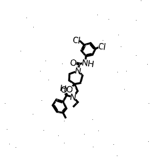 CCN(CC1(O)CCN(C(=O)Nc2cc(Cl)cc(Cl)c2)CC1)C(=O)c1cccc(C)c1